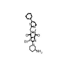 CCn1c(N2CCCC(N)C2)nc2c(=O)n(C)n(Cc3nccc(-c4ccccc4)n3)c(=O)c21